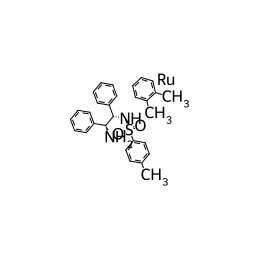 Cc1ccc(S(=O)(=O)N[C@@H](c2ccccc2)[C@@H](N)c2ccccc2)cc1.Cc1ccccc1C.[Ru]